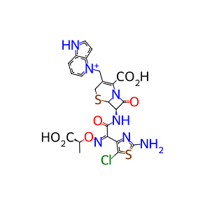 C[C@H](O/N=C(\C(=O)N[C@@H]1C(=O)N2C(C(=O)O)=C(C[n+]3cccc4[nH]ccc43)CSC12)c1nc(N)sc1Cl)C(=O)O